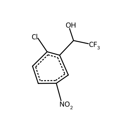 O=[N+]([O-])c1ccc(Cl)c(C(O)C(F)(F)F)c1